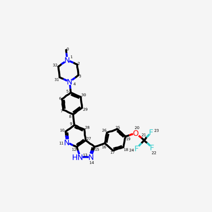 CN1CCN(c2ccc(-c3cnc4[nH]nc(-c5ccc(OC(F)(F)F)cc5)c4c3)cc2)CC1